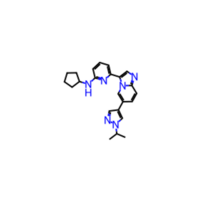 CC(C)n1cc(-c2ccc3ncc(-c4cccc(NC5CCCC5)n4)n3c2)cn1